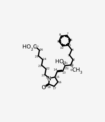 C[C@@H](CCCc1ccccc1)[C@H](O)C=CC1CCC(=O)N1CCCCCCC(=O)O